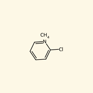 C.Clc1ccccn1